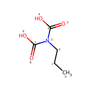 CCCN(C(=O)O)C(=O)O